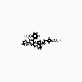 CCOC(=O)C1=C(CN2CC(F)(F)C3C2CCN3CCC2CC(C(=O)O)C2)NC(c2nccs2)=NC1c1cccc(F)c1C